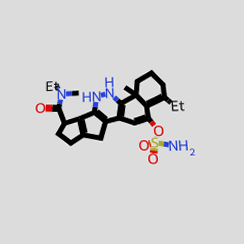 CCC1=C2C(OS(N)(=O)=O)=CC3=C(NNC4=C3CC3=C4C(C(=O)N(C)CC)CC3)C2(C)CCC1